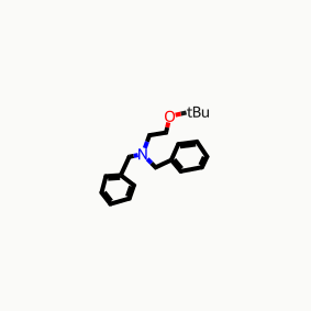 CC(C)(C)OCCN(Cc1ccccc1)Cc1ccccc1